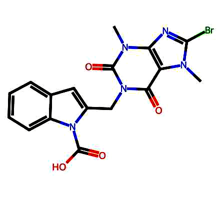 Cn1c(Br)nc2c1c(=O)n(Cc1cc3ccccc3n1C(=O)O)c(=O)n2C